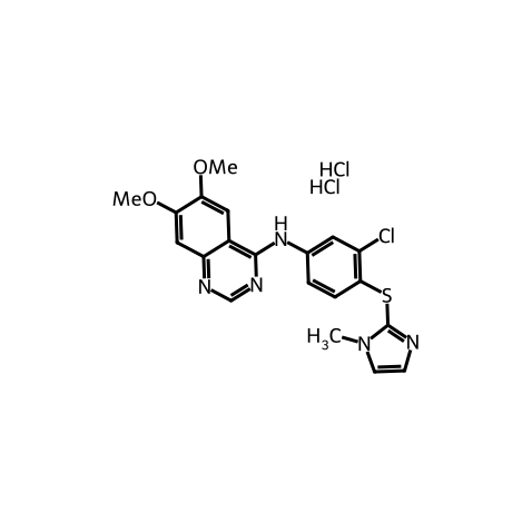 COc1cc2ncnc(Nc3ccc(Sc4nccn4C)c(Cl)c3)c2cc1OC.Cl.Cl